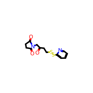 O=C(CCSSc1ccccn1)CN1C(=O)CCC1=O